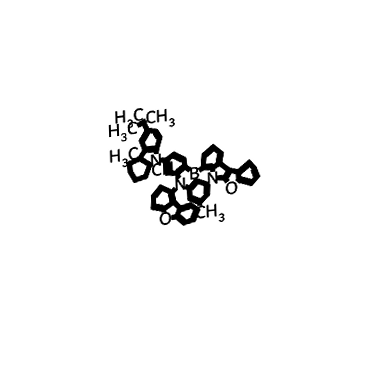 Cc1cc2c3c(c1)-n1c4oc5ccccc5c4c4cccc(c41)B3c1ccc(N3c4ccc(C(C)(C)C)cc4C4(C)CCCCC34C)cc1N2c1cccc2oc3ccccc3c12